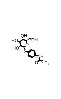 CC(=O)Nc1ccc(S[C@@H]2O[C@H](CO)[C@@H](O)[C@H](O)[C@@H]2O)cc1